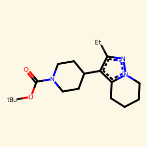 CCc1nn2c(c1C1CCN(C(=O)OC(C)(C)C)CC1)CCCC2